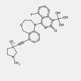 CN1CCC(C#Cc2cccc3c2COCCN3c2nc(=O)n(C(O)(O)O)c3cccc(F)c23)(C(F)(F)F)C1